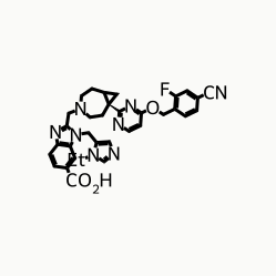 CCn1cncc1Cn1c(CN2CCC3C[C@]3(c3nccc(OCc4ccc(C#N)cc4F)n3)CC2)nc2ccc(C(=O)O)cc21